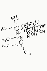 CCCCCC(=Nc1ccc(CCCCC)c(CCCCC)c1)C(CCCC)=Nc1ccc(CCCCC)c(CCCCC)c1.CCc1ccc(O)c(O)c1C(=O)[O-].CCc1ccc(O)c(O)c1C(=O)[O-].[Ni+2]